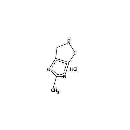 Cc1nc2c(o1)CNC2.Cl